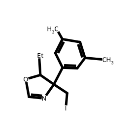 CCC1OC=NC1(CI)c1cc(C)cc(C)c1